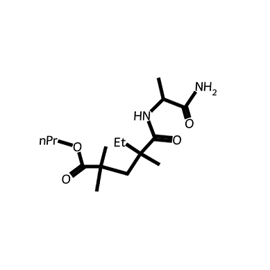 CCCOC(=O)C(C)(C)CC(C)(CC)C(=O)NC(C)C(N)=O